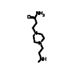 CNCCN1CCN(CCC(N)=O)CC1